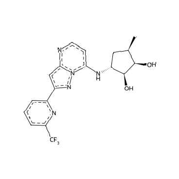 [CH2][C@@H]1C[C@@H](Nc2ccnc3cc(-c4cccc(C(F)(F)F)n4)nn23)[C@H](O)[C@@H]1O